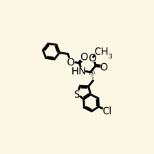 COC(=O)[C@H](Cc1csc2ccc(Cl)cc12)NC(=O)OCc1ccccc1